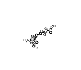 COC(=O)N[C@@H](C(=O)N1C[C@@H](SC)C[C@H]1c1ncc(-c2ccc(-c3ccc(-c4[nH]c([C@@H]5CCCN5C(=O)[C@H](COOC=N)c5ccccc5)nc4Cl)cc3)cc2)[nH]1)c1ccccc1